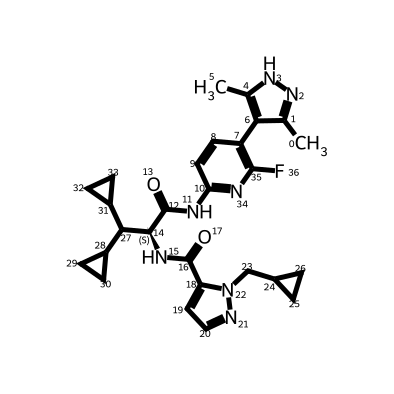 Cc1n[nH]c(C)c1-c1ccc(NC(=O)[C@@H](NC(=O)c2ccnn2CC2CC2)C(C2CC2)C2CC2)nc1F